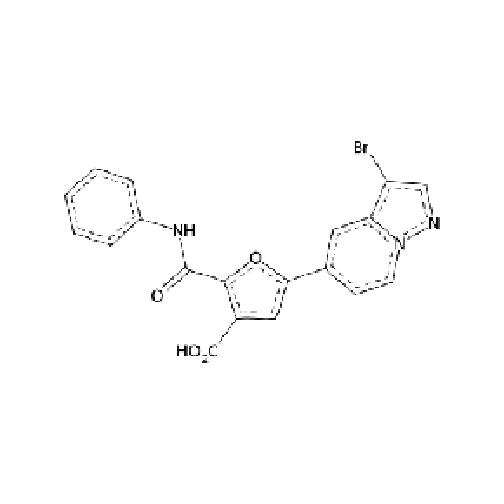 O=C(O)c1cc(-c2ccn3ncc(Br)c3c2)oc1C(=O)Nc1ccccc1